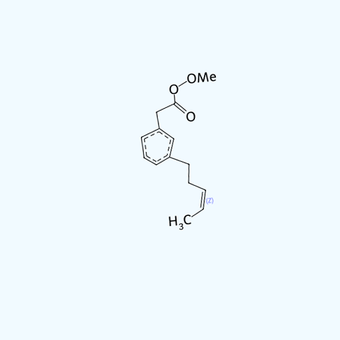 C/C=C\CCc1cccc(CC(=O)OOC)c1